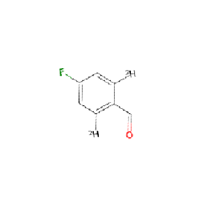 [2H]c1cc(F)cc([2H])c1C=O